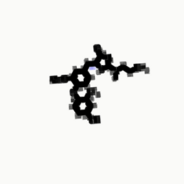 COc1cc(/C=C2\SC(N(C)CCN)=NC2=O)ccc1Oc1ccc(C#N)cc1C(F)(F)F